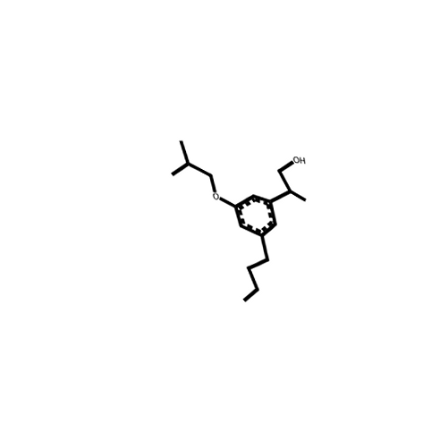 CCCCc1cc(OCC(C)C)cc([C](C)CO)c1